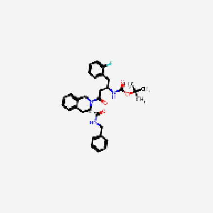 CC(C)(C)OC(=O)NC(CC(=O)N1Cc2ccccc2C[C@H]1C(=O)NCc1ccccc1)Cc1ccccc1F